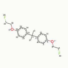 CC(C)(c1ccc(OCCF)cc1)c1ccc(OCCF)cc1